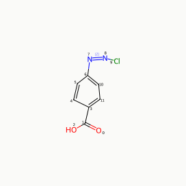 O=C(O)c1ccc(/N=N\Cl)cc1